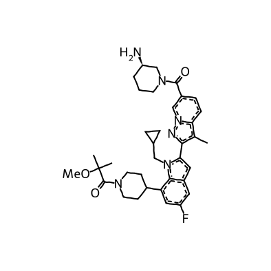 COC(C)(C)C(=O)N1CCC(c2cc(F)cc3cc(-c4nn5cc(C(=O)N6CCC[C@@H](N)C6)ccc5c4C)n(CC4CC4)c23)CC1